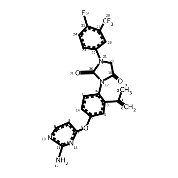 C=C(C)c1cc(Oc2ccnc(N)n2)ccc1N1C(=O)CN(c2ccc(F)c(C(F)(F)F)c2)C1=O